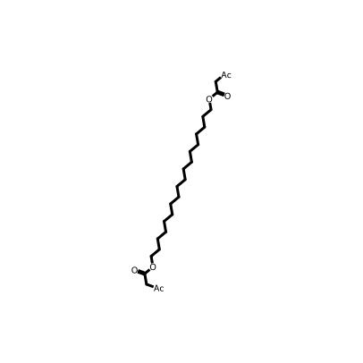 CC(=O)CC(=O)OCCCCCCCCCCCCCCCCCCOC(=O)CC(C)=O